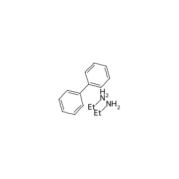 CCN.CCN.c1ccc(-c2ccccc2)cc1